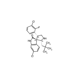 CC(C)(C)C[C@H]1NC[C@@H](c2cccc(Cl)c2F)[C@]12C(=O)Nc1cc(Cl)ccc12